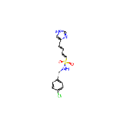 O=S(=O)(/C=C/C=C/c1c[nH]cn1)NCc1ccc(Cl)cc1